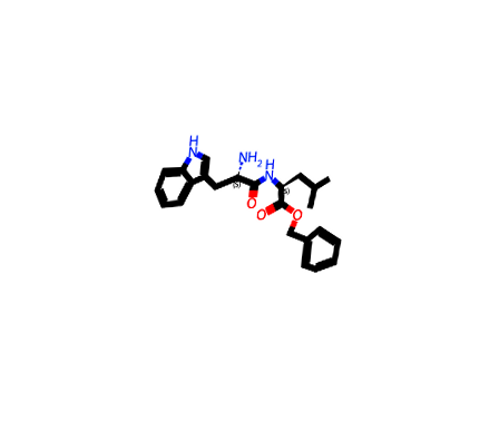 CC(C)C[C@H](NC(=O)[C@@H](N)Cc1c[nH]c2ccccc12)C(=O)OCc1ccccc1